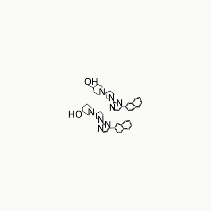 OC1CCCN([C@@H]2CCN(c3nccc(-c4ccc5ccccc5c4)n3)C2)C1.OCC1CCN([C@@H]2CCN(c3nccc(-c4ccc5ccccc5c4)n3)C2)CC1